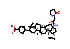 C=C(C)[C@@H]1CC[C@]2(NC(=O)CN3CCCC3=O)CC[C@]3(C)[C@H](CC[C@@H]4[C@@]5(C)CC=C(c6ccc(C(=O)O)cc6)C(C)(C)[C@@H]5CC[C@]43C)[C@@H]12